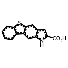 O=C(O)c1cc2cc3sc4ccccc4c3cc2[nH]1